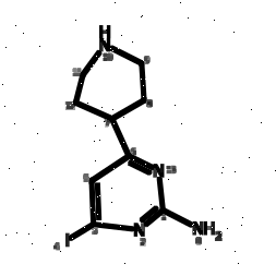 Nc1nc(I)cc(C2CCNCC2)n1